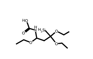 CCOC(CC([SiH3])(OCC)OCC)NC(=O)O